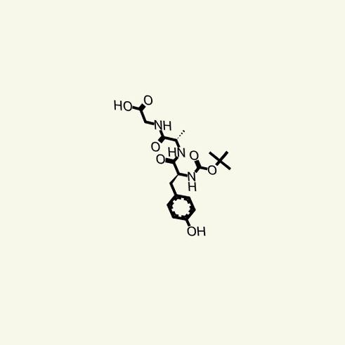 C[C@H](NC(=O)[C@H](Cc1ccc(O)cc1)NC(=O)OC(C)(C)C)C(=O)NCC(=O)O